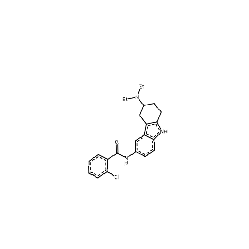 CCN(CC)C1CCc2[nH]c3ccc(NC(=O)c4ccccc4Cl)cc3c2C1